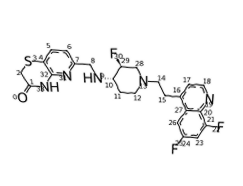 O=C1CSc2ccc(CN[C@H]3CCN(CCc4ccnc5c(F)cc(F)cc45)C[C@@H]3F)nc2N1